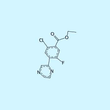 CCOC(=O)c1cc(F)c(-c2cnccn2)cc1Cl